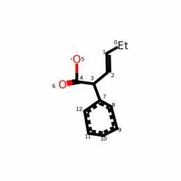 CC/C=C/C(C([O])=O)c1ccccc1